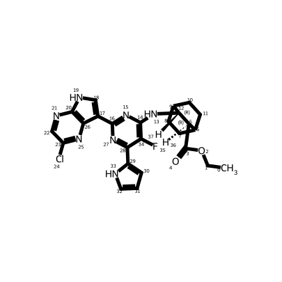 CCOC(=O)[C@@H]1C2CCC(CC2)[C@H]1Nc1nc(-c2c[nH]c3ncc(Cl)nc23)nc(-c2ccc[nH]2)c1F